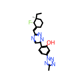 CC[C@@]1(C)CCC/C(=C\c2ncc(-c3ccc(-n4nnc(C)n4)cc3O)nn2)[C@@H]1F